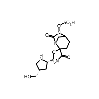 NC(=O)C1(OC[C@@H]2C[C@H](CO)CN2)CCC2CN1C(=O)N2OS(=O)(=O)O